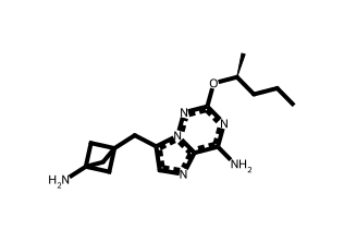 CCC[C@H](C)Oc1nc(N)c2ncc(CC34CC(N)(C3)C4)n2n1